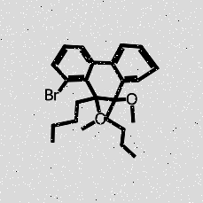 CCCCC1(OC)c2ccccc2-c2cccc(Br)c2C1(CCCC)OC